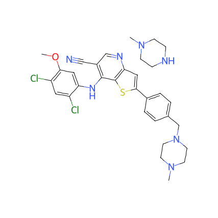 CN1CCNCC1.COc1cc(Nc2c(C#N)cnc3cc(-c4ccc(CN5CCN(C)CC5)cc4)sc23)c(Cl)cc1Cl